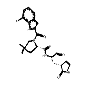 CC1(C)C[C@@H](C(=O)N[C@H](C=O)C[C@@H]2CCNC2=O)N(C(=O)c2cc3cccc(F)c3[nH]2)C1